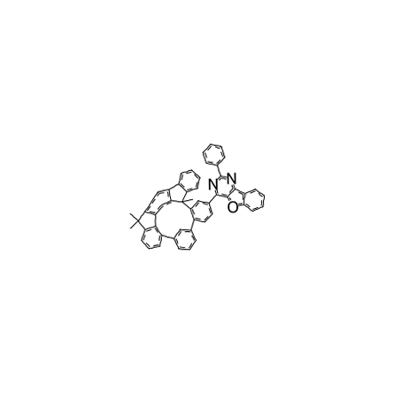 CC1(C)c2cc3c4cc2-c2c(cccc21)-c1cccc(c1)-c1ccc(-c2nc(-c5ccccc5)nc5c2oc2ccccc25)cc1C4(C)c1ccccc1-3